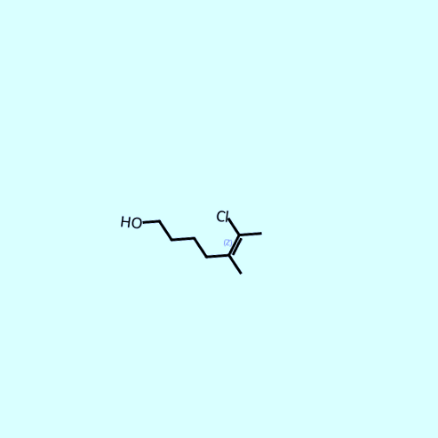 C/C(Cl)=C(\C)CCCCO